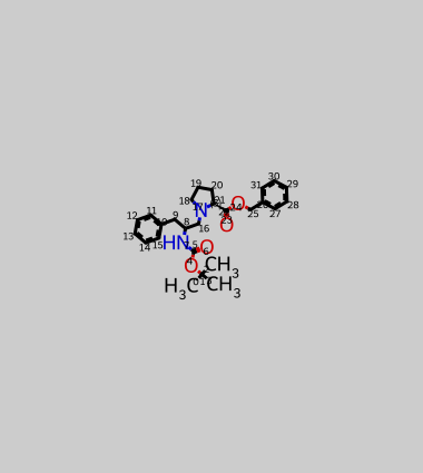 CC(C)(C)OC(=O)NC(Cc1ccccc1)CN1CCC[C@H]1C(=O)OCc1ccccc1